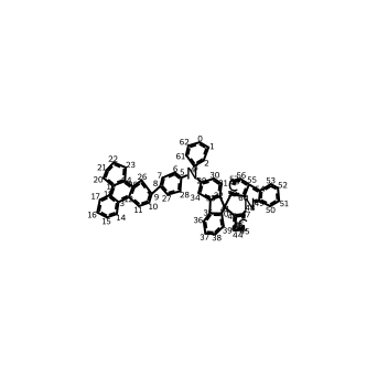 c1ccc(N(c2ccc(-c3ccc4c5ccccc5c5ccccc5c4c3)cc2)c2ccc3c(c2)-c2ccccc2C32c3ccccc3-n3c4ccccc4c4cccc2c43)cc1